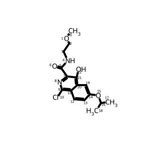 COCCNC(=O)c1nc(Cl)c2ccc(OC(C)C)cc2c1O